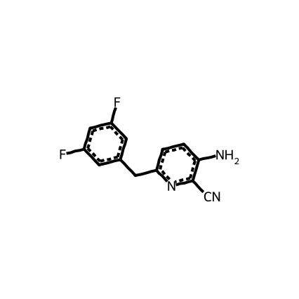 N#Cc1nc(Cc2cc(F)cc(F)c2)ccc1N